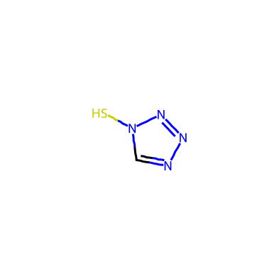 Sn1cnnn1